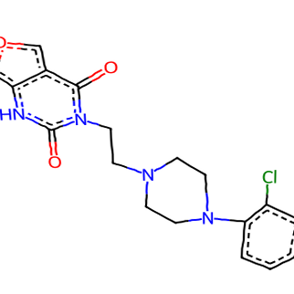 O=c1[nH]c2cocc2c(=O)n1CCN1CCN(c2ccccc2Cl)CC1